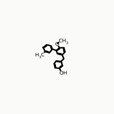 COc1ccc(Cc2cccc(O)c2)cc1-c1cccc(C)c1